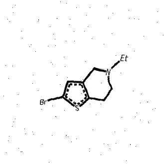 CCN1CCc2sc(Br)cc2C1